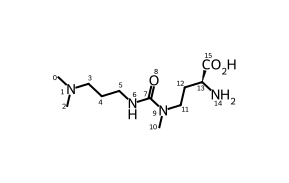 CN(C)CCCNC(=O)N(C)CC[C@H](N)C(=O)O